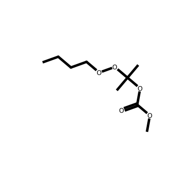 CCCCOOC(C)(C)OC(=O)OC